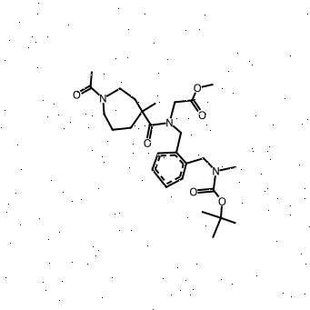 COC(=O)CN(Cc1ccccc1CN(C)C(=O)OC(C)(C)C)C(=O)C1(C)CCCN(C(C)=O)CC1